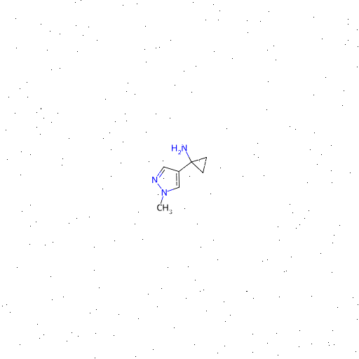 Cn1cc(C2(N)CC2)cn1